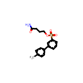 NC(=O)CCCOS(=O)(=O)c1cccc(-c2ccc(C(F)(F)F)cc2)c1